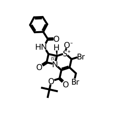 CC(C)(C)OC(=O)C1=C(CBr)C(Br)[S+]([O-])[C@H]2C(NC(=O)c3ccccc3)C(=O)N12